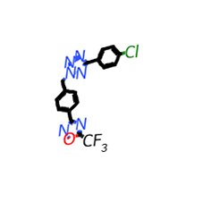 FC(F)(F)c1nc(-c2ccc(Cn3nnc(-c4ccc(Cl)cc4)n3)cc2)no1